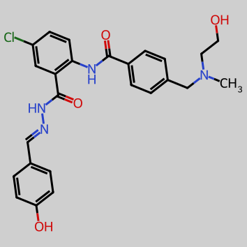 CN(CCO)Cc1ccc(C(=O)Nc2ccc(Cl)cc2C(=O)NN=Cc2ccc(O)cc2)cc1